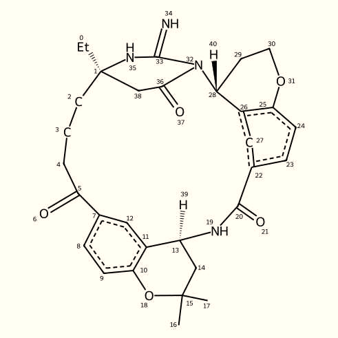 CC[C@]12CCCC(=O)c3ccc4c(c3)[C@H](CC(C)(C)O4)NC(=O)c3ccc4c(c3)[C@@H](CCO4)N(C(=N)N1)C(=O)C2